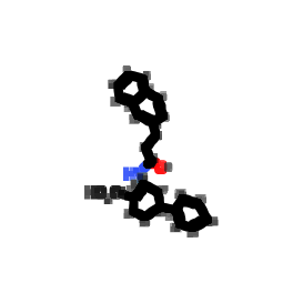 O=C(CCc1ccc2ccccc2c1)NC1=C(C(=O)O)CCC(c2ccccc2)C1